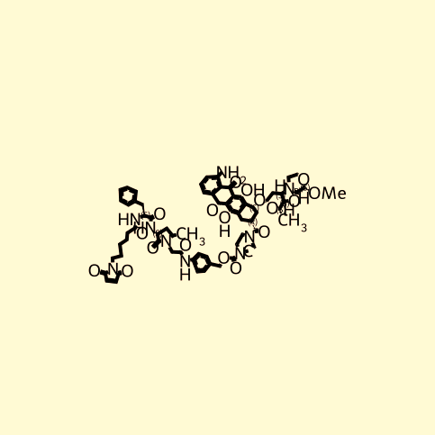 CO[C@H]1OCCN2[C@@H]1O[C@@H]1[C@H](C)OC(O[C@H]3C[C@H](C(=O)N4CCN(C(=O)OCc5ccc(NC(=O)CN6C(=O)[C@@H](NC(=O)[C@H](Cc7ccccc7)NC(=O)CCCCCN7C(=O)C=CC7=O)CC6C)cc5)CC4)Cc4c(O)c5c(c(O)c43)C(=O)c3c(N)cccc3C5=O)C[C@@H]12